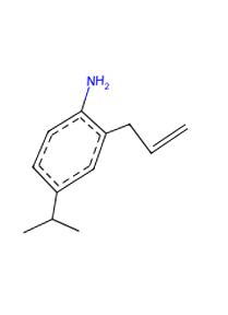 C=CCc1cc(C(C)C)ccc1N